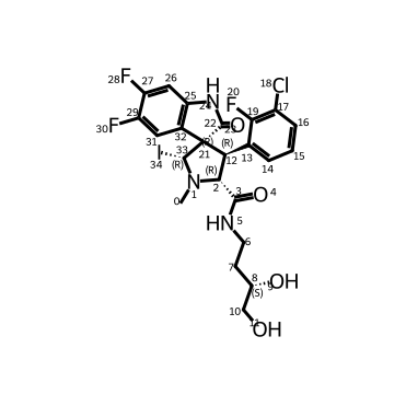 CN1[C@@H](C(=O)NCC[C@H](O)CO)[C@H](c2cccc(Cl)c2F)[C@@]2(C(=O)Nc3cc(F)c(F)cc32)[C@H]1I